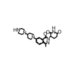 Cc1nn(C2CCC(=O)NC2=O)c(=O)c2cc(N3CCC(N4CCNCC4)CC3)ccc12